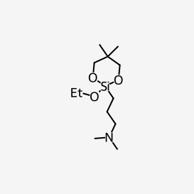 CCO[Si]1(CCCN(C)C)OCC(C)(C)CO1